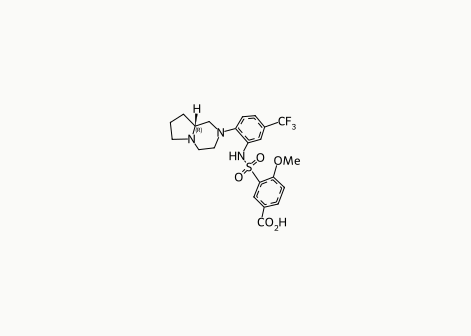 COc1ccc(C(=O)O)cc1S(=O)(=O)Nc1cc(C(F)(F)F)ccc1N1CCN2CCC[C@@H]2C1